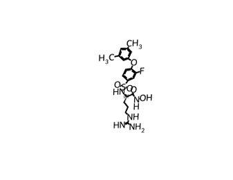 Cc1cc(C)cc(Oc2ccc(S(=O)(=O)N[C@H](CCCNC(=N)N)C(=O)NO)cc2F)c1